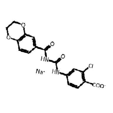 O=C(NC(=O)c1ccc2c(c1)OCCO2)Nc1ccc(C(=O)[O-])c(Cl)c1.[Na+]